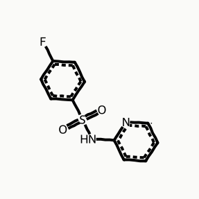 O=S(=O)(Nc1ccc[c]n1)c1ccc(F)cc1